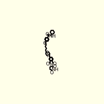 O=C1CCC(N2C(=O)c3ccc(N4CCN(CCCCOc5ccc(C(=O)NC6CCCCC6)cc5)CC4)cc3C2=O)C(=O)N1